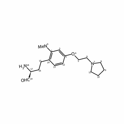 CNc1cc(OCCN2CCCC2)ccc1CC[C@H](N)C=O